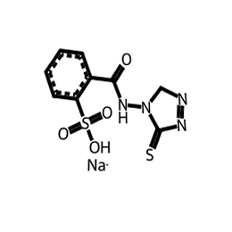 O=C(NN1CN=NC1=S)c1ccccc1S(=O)(=O)O.[Na]